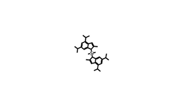 CC1=Cc2c(C(C)C)cc(C(C)C)cc2C1[Si](C)(C)C1C(C)=Cc2c(C(C)C)cc(C(C)C)cc21